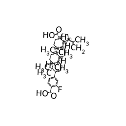 C=C(C)[C@@H]1CC[C@]2(C(=O)O)CC[C@]3(C)[C@H](CC[C@@H]4[C@@]5(C)CC=C(c6ccc(C(=O)O)c(F)c6)C(C)(C)[C@@H]5CC[C@]43C)[C@@H]12